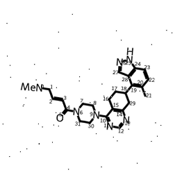 CNC/C=C/C(=O)N1CCN(c2ncnc3c2CCC(c2c(C)ccc4[nH]ncc24)C3)CC1